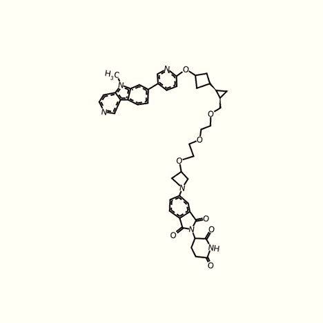 Cn1c2ccncc2c2ccc(-c3ccc(OC4CC([C@H]5C[C@H]5COCCOCCOC5CN(c6ccc7c(c6)C(=O)N(C6CCC(=O)NC6=O)C7=O)C5)C4)nc3)cc21